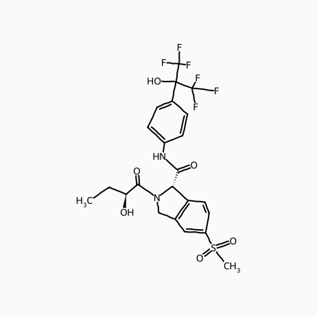 CC[C@H](O)C(=O)N1Cc2cc(S(C)(=O)=O)ccc2[C@H]1C(=O)Nc1ccc(C(O)(C(F)(F)F)C(F)(F)F)cc1